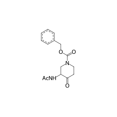 CC(=O)NC1CN(C(=O)OCc2ccccc2)CCC1=O